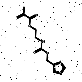 C=C(C)C(=O)OCCNC(=O)OCc1cncs1